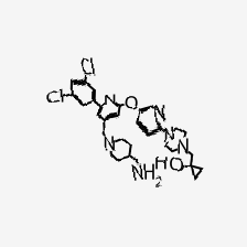 NCC1CCN(Cc2cc(Oc3ccc(N4CCN(CC5(O)CC5)CC4)nc3)nc(-c3cc(Cl)cc(Cl)c3)c2)CC1